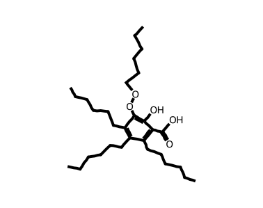 CCCCCCOOc1c(O)c(C(=O)O)c(CCCCCC)c(CCCCCC)c1CCCCCC